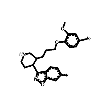 COc1cc(Br)ccc1OCCCC1CNCCC1c1noc2cc(F)ccc12